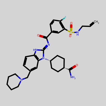 C=CCNS(=O)(=O)c1cc(C(=O)/N=c2\[nH]c3ccc(CN4CCCCC4)cc3n2[C@H]2CC[C@@H](C(N)=O)CC2)ccc1F